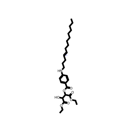 CCCCCCCCC/C=C/CCCNc1ccc(C(=O)OC(C(=O)OCC)C(O)C(=O)OCC)cc1